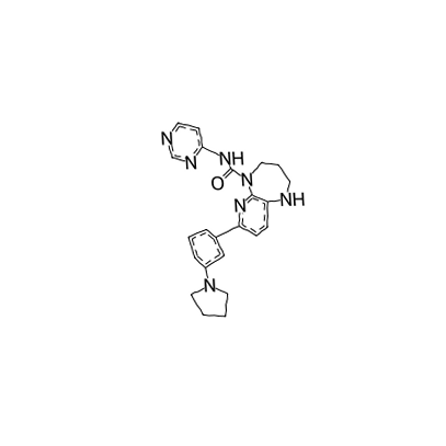 O=C(Nc1ccncn1)N1CCCNc2ccc(-c3cccc(N4CCCC4)c3)nc21